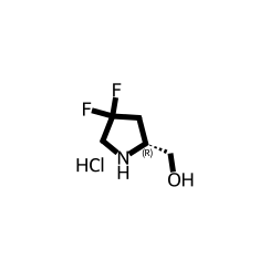 Cl.OC[C@H]1CC(F)(F)CN1